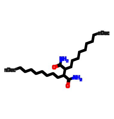 CCCCCCCCCCCCCCCCCCC(C(N)=O)C(CCCCCCCCCCCCCCCCCC)C(N)=O